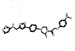 O=C(COc1ccc([N+](=O)[O-])cc1)N1CCN(c2ccc(-c3cc(CNc4ccon4)on3)cc2)CC1F